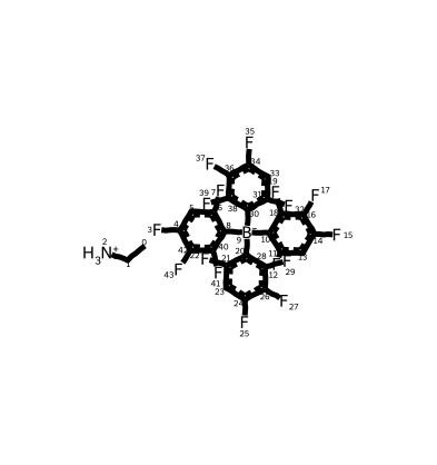 CC[NH3+].Fc1cc(F)c([B-](c2c(F)cc(F)c(F)c2F)(c2c(F)cc(F)c(F)c2F)c2c(F)cc(F)c(F)c2F)c(F)c1F